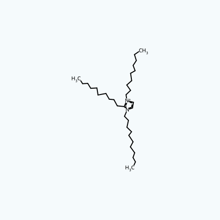 CCCCCCCCCCCn1cc[n+](CCCCCCCCCC)c1CCCCCCCCCC